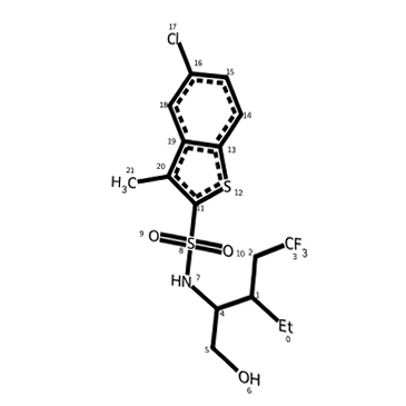 CCC(CC(F)(F)F)C(CO)NS(=O)(=O)c1sc2ccc(Cl)cc2c1C